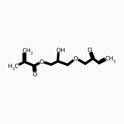 C=CC(=O)COCC(O)COC(=O)C(=C)C